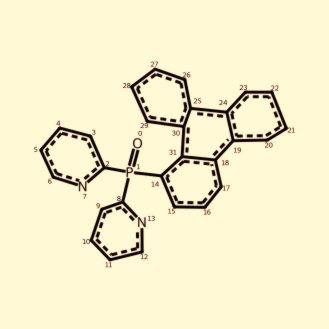 O=P(c1ccccn1)(c1ccccn1)c1cccc2c3ccccc3c3ccccc3c12